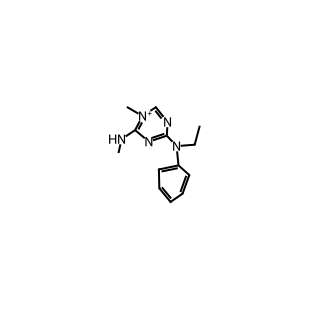 CCN(c1ccccc1)c1nc[n+](C)c(NC)n1